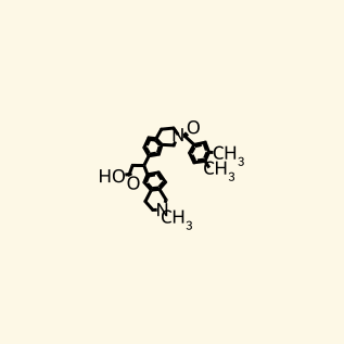 Cc1ccc(C(=O)N2CCc3ccc(C(CC(=O)O)c4ccc5c(c4)CCN(C)C5)cc3C2)cc1C